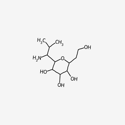 CC(C)C(N)C1OC(CCO)C(O)C(O)C1O